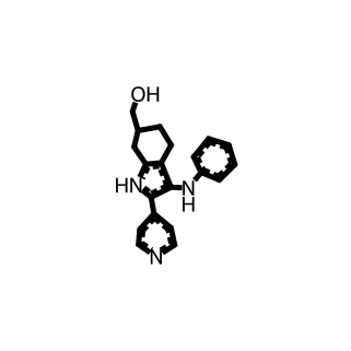 OCC1CCc2c([nH]c(-c3ccncc3)c2Nc2ccccc2)C1